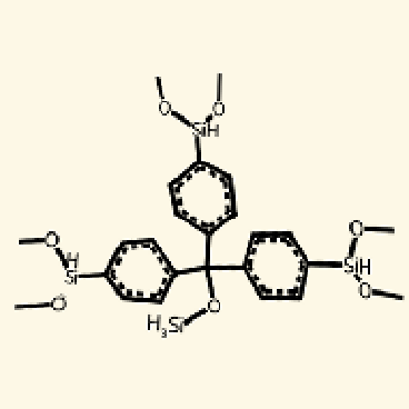 CO[SiH](OC)c1ccc(C(O[SiH3])(c2ccc([SiH](OC)OC)cc2)c2ccc([SiH](OC)OC)cc2)cc1